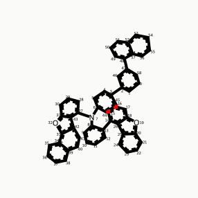 c1cc(-c2ccc(N(c3ccccc3-c3cccc4oc5ccccc5c34)c3cccc4oc5c6ccccc6ccc5c34)cc2)cc(-c2cccc3ccccc23)c1